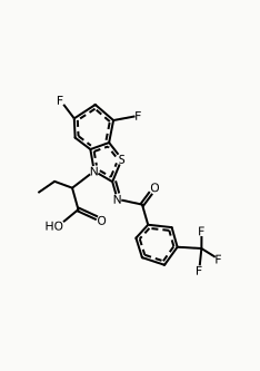 CCC(C(=O)O)n1/c(=N/C(=O)c2cccc(C(F)(F)F)c2)sc2c(F)cc(F)cc21